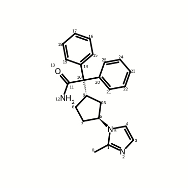 Cc1nccn1[C@H]1CC[C@H](C(C(N)=O)(c2ccccc2)c2ccccc2)C1